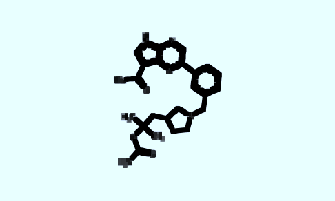 CC(C)(CC1CCN(Cc2cccc(-c3cnc4[nH]cc(C(=O)C(C)(C)C)c4n3)c2)C1)OC(N)=O